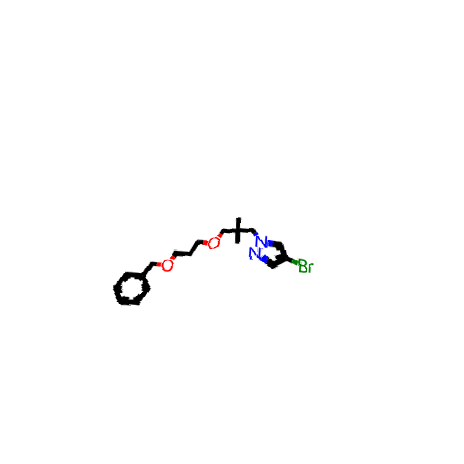 CC(C)(COCCCOCc1ccccc1)Cn1cc(Br)cn1